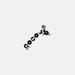 CCN1CCCN(c2ccc(N3CCN(c4ccc(OCC5COC(Cn6cncn6)(c6ccc(Cl)cc6Cl)O5)cc4)CC3)cc2)C1=S